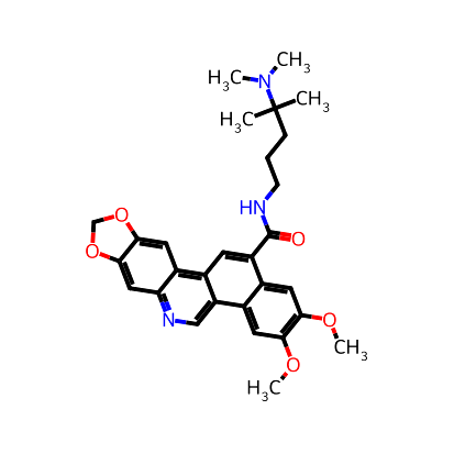 COc1cc2c(C(=O)NCCCC(C)(C)N(C)C)cc3c4cc5c(cc4ncc3c2cc1OC)OCO5